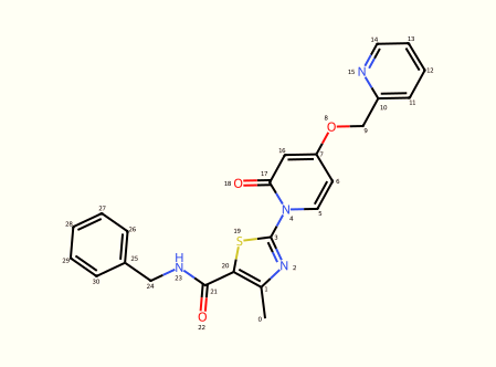 Cc1nc(-n2ccc(OCc3ccccn3)cc2=O)sc1C(=O)NCc1ccccc1